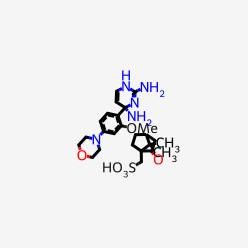 CC1(C)C2CCC1(CS(=O)(=O)O)C(=O)C2.COc1cc(N2CCOCC2)ccc1C1(N)C=CNC(N)=N1